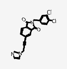 O=C1c2ccc(C#CCn3ccnc3)cc2C(=O)N1Cc1ccc(Cl)c(Cl)c1